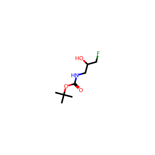 CC(C)(C)OC(=O)NCC(O)[CH]F